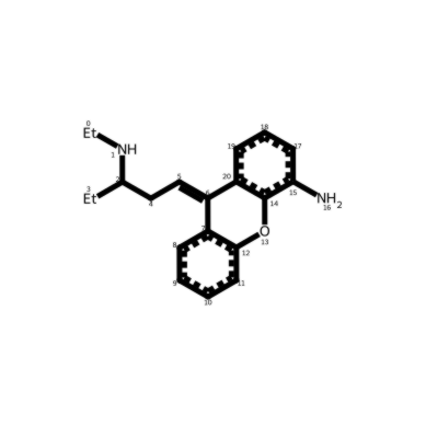 CCNC(CC)C/C=C1\c2ccccc2Oc2c(N)cccc21